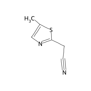 Cc1cnc(CC#N)s1